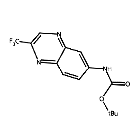 CC(C)(C)OC(=O)Nc1ccc2nc(C(F)(F)F)cnc2c1